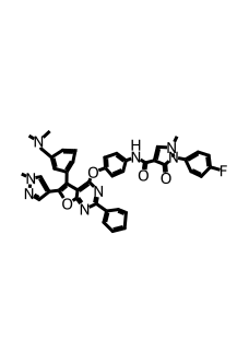 CN(C)Cc1cccc(-c2c(-c3cnn(C)c3)oc3nc(-c4ccccc4)nc(Oc4ccc(NC(=O)c5cn(C)n(-c6ccc(F)cc6)c5=O)cc4)c23)c1